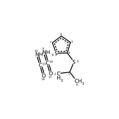 CC(C)Sc1cccs1.N=C=O.N=C=O